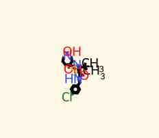 CC(C)c1nc(C2(O)CCCN(O)CC2)sc1C(=O)NCc1ccc(Cl)cc1